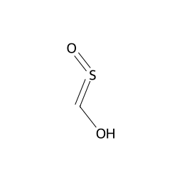 O=S=CO